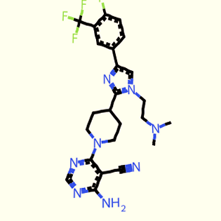 CN(C)CCn1cc(-c2ccc(F)c(C(F)(F)F)c2)nc1C1CCN(c2ncnc(N)c2C#N)CC1